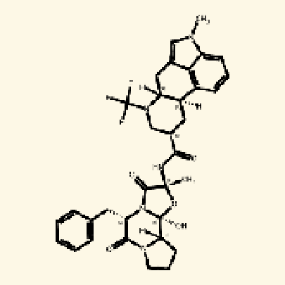 Cn1cc2c3c(cccc31)[C@H]1C[C@@H](C(=O)N[C@]3(C)O[C@@]4(O)[C@@H]5CCCN5C(=O)[C@H](Cc5ccccc5)N4C3=O)CN(C(F)(F)F)[C@@H]1C2